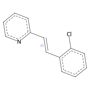 Clc1ccccc1/C=C/c1ccccn1